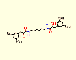 CC(C)(C)C1=CC(C=C(O)C(=O)NCCCCCCNC(=O)C(O)=CC2=CC(C(C)(C)C)CC(C(C)(C)C)=C2)=CC(C(C)(C)C)C1